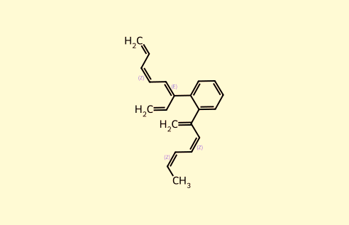 C=C/C=C\C=C(/C=C)c1ccccc1C(=C)/C=C\C=C/C